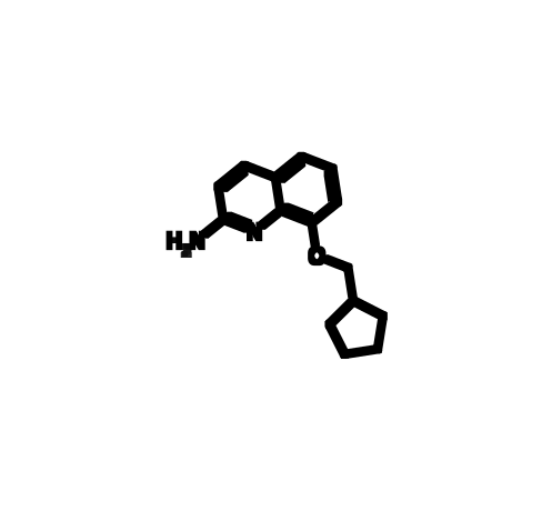 Nc1ccc2cccc(OCC3CCCC3)c2n1